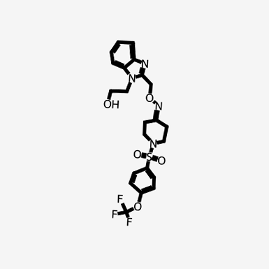 O=S(=O)(c1ccc(OC(F)(F)F)cc1)N1CCC(=NOCc2nc3ccccc3n2CCO)CC1